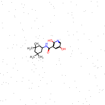 CC1(C)CC(NC(=O)c2cc(O)cnc2O)CC(C)(C)C1